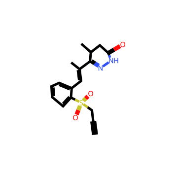 C#CCS(=O)(=O)c1ccccc1C=C(C)C1=NNC(=O)CC1C